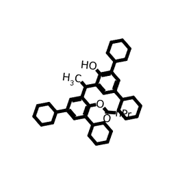 CCCC(=O)Oc1c(C2CCCCC2)cc(C2CCCCC2)cc1C(C)c1cc(C2CCCCC2)cc(C2CCCCC2)c1O